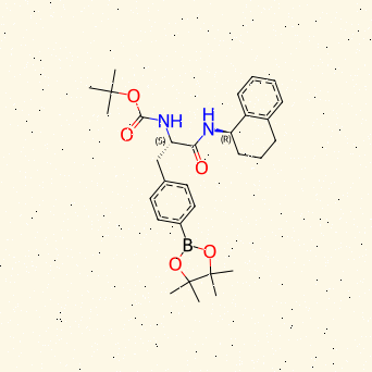 CC(C)(C)OC(=O)N[C@@H](Cc1ccc(B2OC(C)(C)C(C)(C)O2)cc1)C(=O)N[C@@H]1CCCc2ccccc21